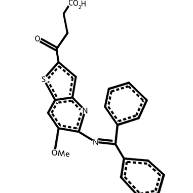 COc1cc2sc(C(=O)CCC(=O)O)cc2nc1N=C(c1ccccc1)c1ccccc1